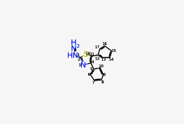 NNc1nc(-c2ccccc2)c(-c2ccccc2)s1